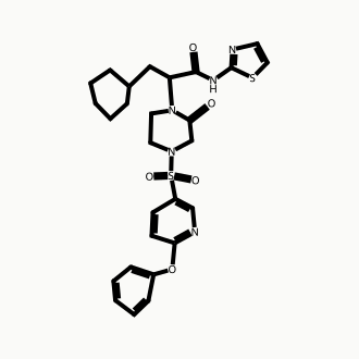 O=C(Nc1nccs1)C(CC1CCCCC1)N1CCN(S(=O)(=O)c2ccc(Oc3ccccc3)nc2)CC1=O